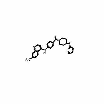 O=C(c1ccc(Nc2ccnc3cc(C(F)(F)F)ccc23)cc1)N1CCC(Sc2cccs2)CC1